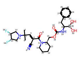 CC(C)(C=C(C#N)C(=O)N1CCCC[C@@H]1COC(=O)NC(Cc1ccccc1)B(O)O)N1C[C@@H](F)[C@@H](F)C1